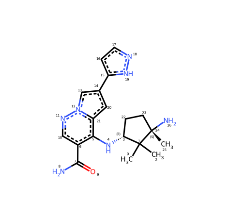 CC1(C)[C@H](Nc2c(C(N)=O)cnn3cc(-c4ccn[nH]4)cc23)CC[C@]1(C)N